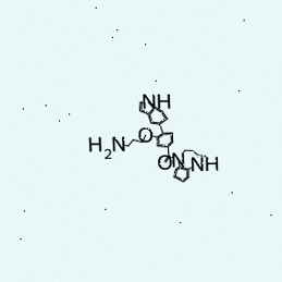 C[C@@H]1CCN(C(=O)c2ccc(-c3ccc4[nH]ccc4c3)c(OCCCN)c2)c2ccccc2N1